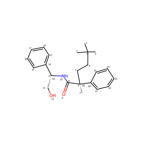 CC(C)(C)CC[C@](C)(C(=O)N[C@H](CO)c1ccccc1)c1ccccc1